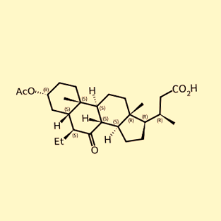 CC[C@@H]1C(=O)[C@@H]2[C@H](CC[C@]3(C)[C@@H]([C@H](C)CC(=O)O)CC[C@@H]23)[C@@]2(C)CC[C@@H](OC(C)=O)C[C@@H]12